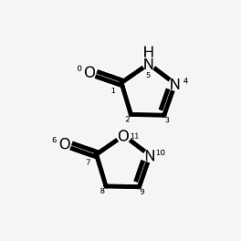 O=C1CC=NN1.O=C1CC=NO1